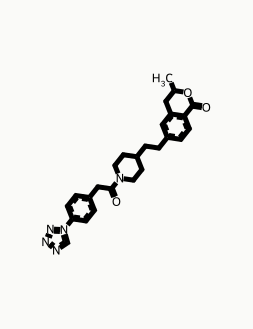 CC1Cc2cc(CCC3CCN(C(=O)Cc4ccc(-n5cnnn5)cc4)CC3)ccc2C(=O)O1